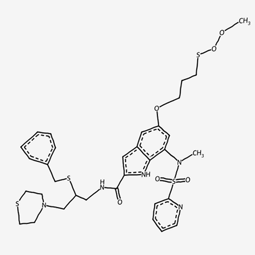 COOSCCCOc1cc(N(C)S(=O)(=O)c2ccccn2)c2[nH]c(C(=O)NCC(CN3CCSCC3)SCc3ccccc3)cc2c1